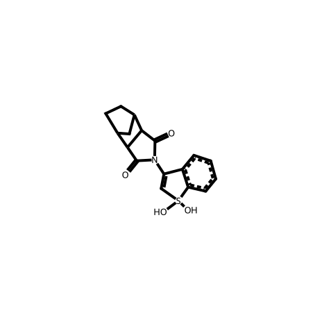 O=C1C2C3CCC(C3)C2C(=O)N1C1=CS(O)(O)c2ccccc21